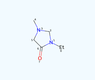 CCN1CN(C)CC1=O